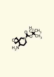 CC(C)(C)OC(=O)N1CCC(N)C2(COC2)C1